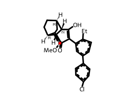 CCc1ccc(-c2ccc(Cl)cc2)cc1C1=C(O)[C@H]2[C@@H]3CC[C@@H](C(=NOC)C3)[C@H]2C1=O